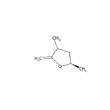 C=C1O[C@H](C)CC1C